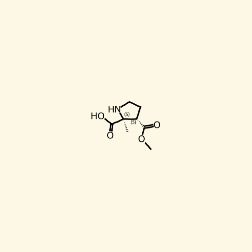 COC(=O)[C@H]1CCN[C@]1(C)C(=O)O